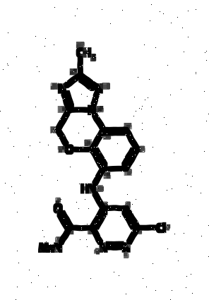 CNC(=O)c1nnc(Cl)cc1Nc1cccc2c1OCc1nc(C)nn1-2